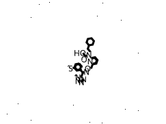 CSc1cccc(/C(=N\OCc2cccc(N(CCC3CCCCC3)C(=O)O)n2)c2nnnn2C)c1